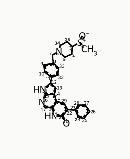 C[S+]([O-])C1CCN(Cc2ccc(-c3cc4c(ncc5[nH]c(=O)c(-c6ccccc6)cc54)[nH]3)cc2)CC1